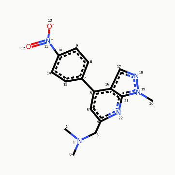 CN(C)Cc1cc(-c2ccc([N+](=O)[O-])cc2)c2cnn(C)c2n1